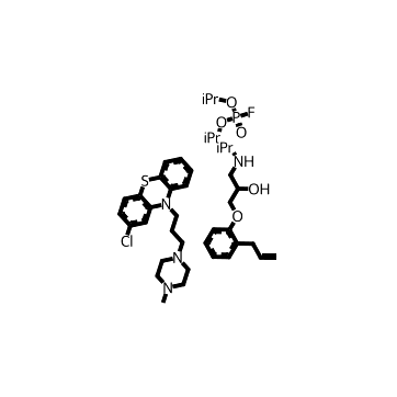 C=CCc1ccccc1OCC(O)CNC(C)C.CC(C)OP(=O)(F)OC(C)C.CN1CCN(CCCN2c3ccccc3Sc3ccc(Cl)cc32)CC1